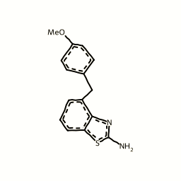 COc1ccc(Cc2cccc3sc(N)nc23)cc1